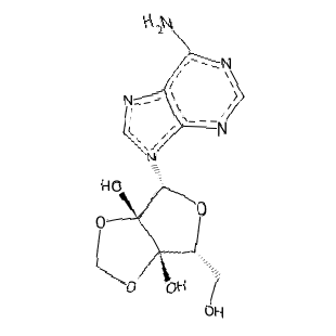 Nc1ncnc2c1ncn2[C@@H]1O[C@H](CO)[C@]2(O)OCO[C@]12O